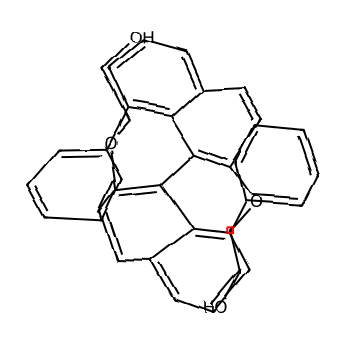 OCCOc1ccc2cccc(-c3ccccc3)c2c1-c1c(OCCO)ccc2cccc(-c3ccccc3)c12